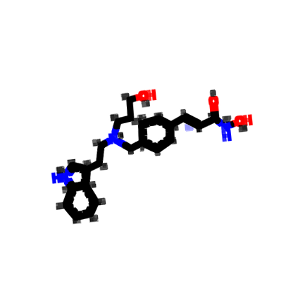 O=C(/C=C/c1ccc(CN(CCCO)CCc2c[nH]c3ccccc23)cc1)NO